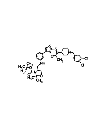 CC(=O)N(Sc1nc(-c2cccc(NC[C@H]3COC(C)(C)N3C(=O)OC(C)(C)C)c2)cs1)C1CCN(Cc2ccc(Cl)c(Cl)c2)CC1